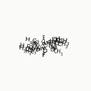 CC[C@H](NC(=O)OC(C)(C)C)C(=O)N1C[C@@H](OC(C)=O)C[C@H]1Cc1c(-c2[nH]c3cc(F)ccc3c2C[C@@H]2C[C@H](OC(C)=O)CN2C(=O)[C@H](CC)NC(=O)OC(C)(C)C)[nH]c2cc(F)ccc12